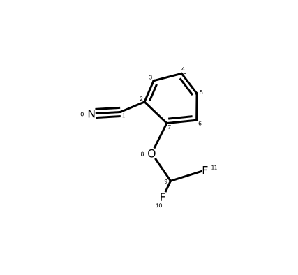 N#Cc1c[c]ccc1OC(F)F